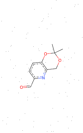 CC1(C)OCc2nc(C=O)ccc2O1